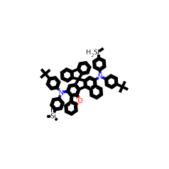 C[SiH2]c1ccc(N(c2ccc(C(C)(C)C)cc2)c2cc3c(c4ccccc24)-c2c(cc(N(c4ccc([SiH](C)C)cc4)c4ccc(C(C)(C)C)cc4)c4c2oc2ccccc24)C32c3ccccc3-c3ccccc32)cc1